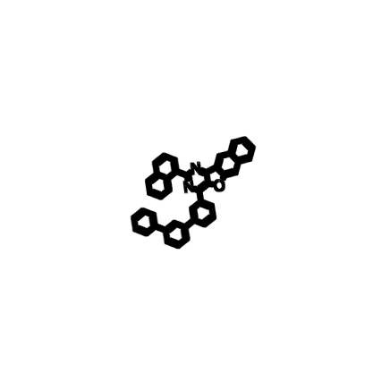 c1ccc(-c2cccc(-c3cccc(-c4nc(-c5cccc6ccccc56)nc5c4oc4cc6ccccc6cc45)c3)c2)cc1